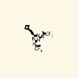 C/C(=N\c1nc(C#CC2CCC2)nc(/N=C(\C)C(F)(F)F)n1)C(F)(F)F